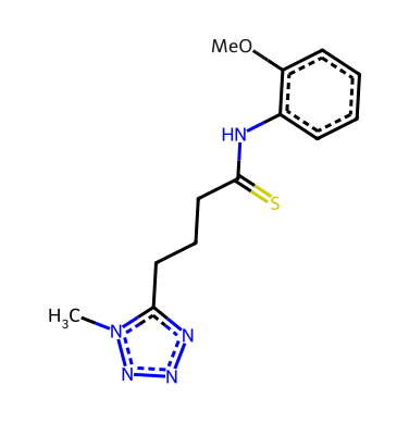 COc1ccccc1NC(=S)CCCc1nnnn1C